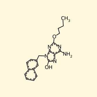 CCCCOc1nc(N)c2nc(O)n(Cc3ccc4ccccc4c3)c2n1